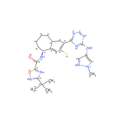 Cn1cc(Nc2ncnc(-c3cc4c(cc3F)[C@@H](NC(=O)c3nc(C(C)(C)C)no3)CCCC4)n2)cn1